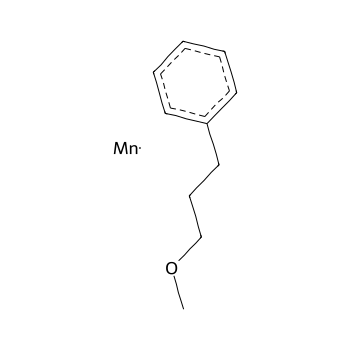 COCCCc1ccccc1.[Mn]